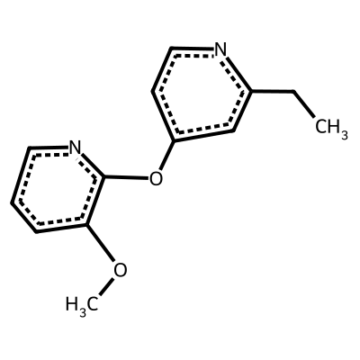 CCc1cc(Oc2ncccc2OC)ccn1